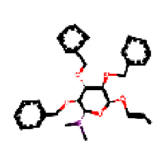 CC=CO[C@H]1O[C@H](P(C)C)[C@@H](OCc2ccccc2)[C@H](OCc2ccccc2)[C@H]1OCc1ccccc1